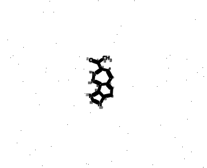 CC(=O)c1ccc2ccc3ncnc3c2nn1